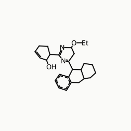 CCOC1CC(C2c3ccccc3CC3CCCCC32)=NC(C2CCC=CC2O)=N1